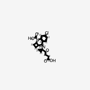 O=C(O)CCC(=O)C1(NC2c3ccc(Cl)cc3N(C(=O)O)C3CCC23)CC1